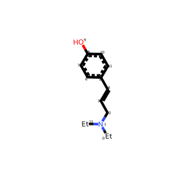 CCN([CH]C=Cc1ccc(O)cc1)CC